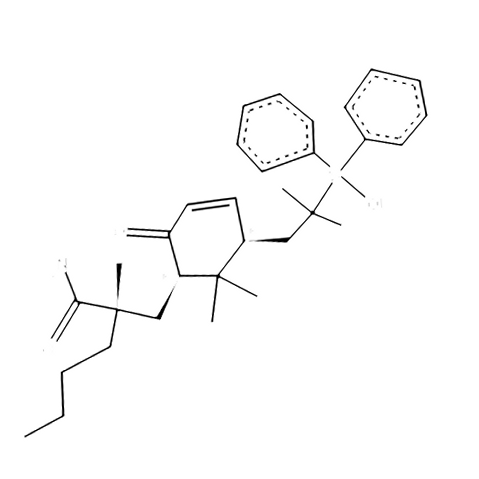 CCCC[C@@](C)(C[C@H]1C(=O)C=C[C@@H](CC(C)(C)[Si](O)(c2ccccc2)c2ccccc2)C1(C)C)C(N)=O